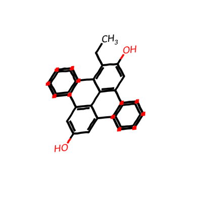 CCc1c(O)cc(-c2ccccc2)c(-c2c(-c3ccccc3)cc(O)cc2-c2ccccc2)c1-c1ccccc1